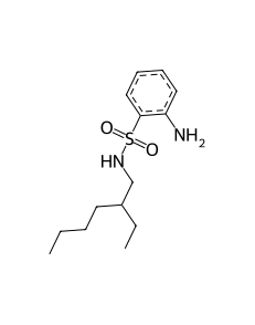 CCCCC(CC)CNS(=O)(=O)c1ccccc1N